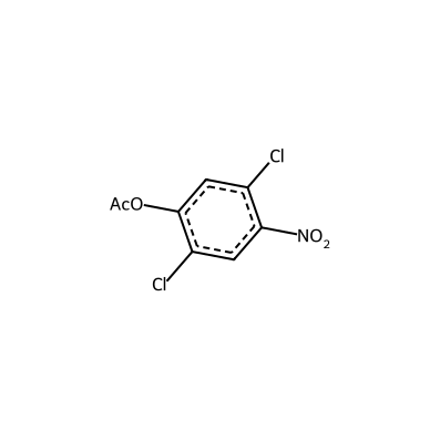 CC(=O)Oc1cc(Cl)c([N+](=O)[O-])cc1Cl